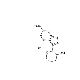 CC1CCCOC1n1ncc2cc(C(=O)[O-])ccc21.[Li+]